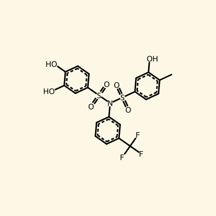 Cc1ccc(S(=O)(=O)N(c2cccc(C(F)(F)F)c2)S(=O)(=O)c2ccc(O)c(O)c2)cc1O